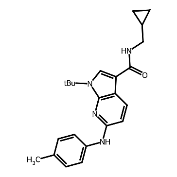 Cc1ccc(Nc2ccc3c(C(=O)NCC4CC4)cn(C(C)(C)C)c3n2)cc1